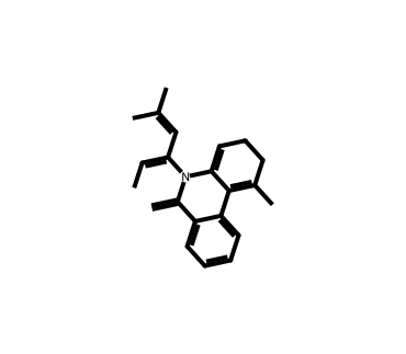 C=C1c2ccccc2C2=C(C)CCC=C2N1/C(C=C(C)C)=C\C